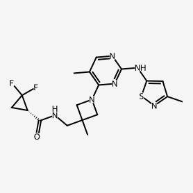 Cc1cc(Nc2ncc(C)c(N3CC(C)(CNC(=O)[C@@H]4CC4(F)F)C3)n2)sn1